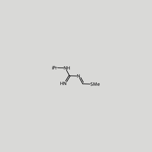 CS/C=N/C(=N)NC(C)C